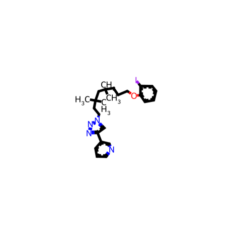 CC(C)(CCCOc1ccccc1I)CC(C)(C)CCn1cc(-c2cccnc2)nn1